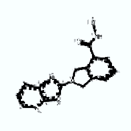 O=C(NO)c1cccc2c1CN(c1nc3cccnc3o1)C2